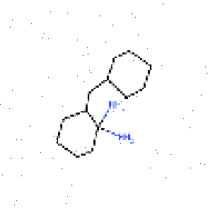 NC1(N)CCCCC1CC1CCCCC1